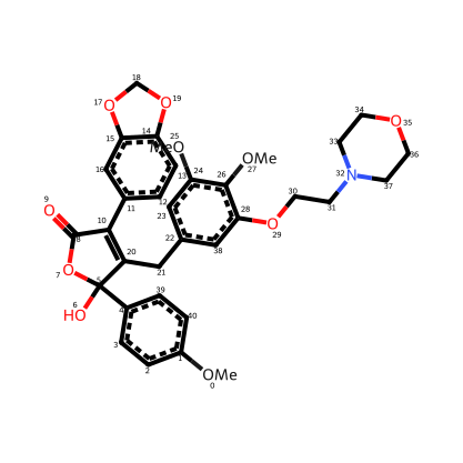 COc1ccc(C2(O)OC(=O)C(c3ccc4c(c3)OCO4)=C2Cc2cc(OC)c(OC)c(OCCN3CCOCC3)c2)cc1